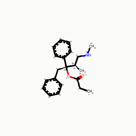 CCC(=O)O[C@](Cc1ccccc1)(c1ccccc1)[C@H](C)CNC